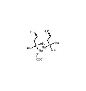 C=CC[N+](CCCC)(CCCC)CCCC.C=CC[N+](CCCC)(CCCC)CCCC.O=C([O-])[O-]